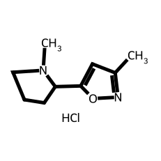 Cc1cc(C2CCCN2C)on1.Cl